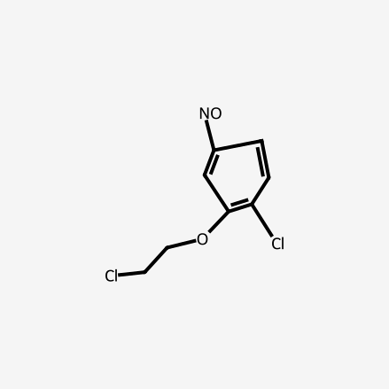 O=Nc1ccc(Cl)c(OCCCl)c1